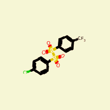 O=S(=O)(c1ccc(Cl)cc1)S(=O)(=O)c1ccc(C(F)(F)F)cc1